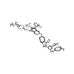 Cc1c(C)n(CCCN2CCN(C)CC2)c2ccc(Cc3cccc(C(=O)Nc4cc(O)c(-c5ccc(F)cc5)c(O)c4)c3)cc12